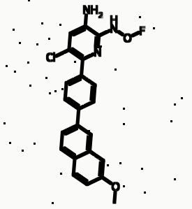 COc1ccc2ccc(-c3ccc(-c4nc(NOF)c(N)cc4Cl)cc3)cc2c1